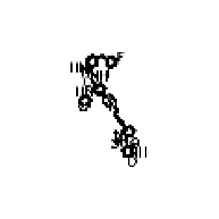 Cn1c(=O)n(C2CCC(=O)NC2=O)c2cccc(C#CCCN3CCN(c4ccc(C(=O)Nc5n[nH]c6ccc(Cc7cc(F)cc(F)c7)cc56)c(NC5CCOCC5)c4)CC3)c21